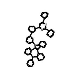 c1ccc(-c2cc(-c3cccc(-c4cccc(-n5c6c(c7ccccc75)-c5ccccc5C(c5ccccc5)c5ccccc5-6)c4)c3)nc(-c3ccccc3)n2)cc1